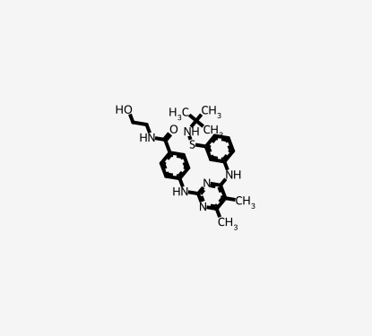 Cc1nc(Nc2ccc(C(=O)NCCO)cc2)nc(Nc2cccc(SNC(C)(C)C)c2)c1C